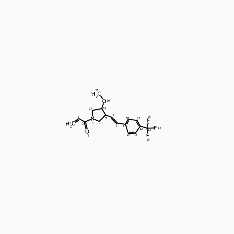 C=CC(=O)N1CC(C=Cc2ccc(C(F)(F)F)cc2)C(OC)C1